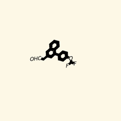 O=CCc1cc(-c2ccc(OC(F)F)cc2)c2ccccc2c1